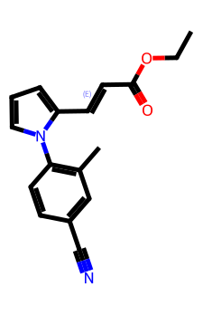 CCOC(=O)/C=C/c1cccn1-c1ccc(C#N)cc1C